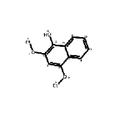 CCOc1cc(OCC)c2ccccc2c1O